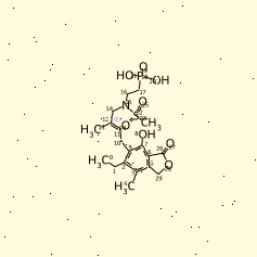 CCc1c(C)c2c(c(O)c1C/C=C(\C)CN(CCP(=O)(O)O)S(C)(=O)=O)C(=O)OC2